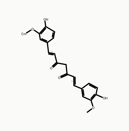 COc1cc(/C=C/C(=O)CC(=O)/C=C/c2ccc(O)c([O][Cm])c2)ccc1O